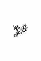 Cc1nnc(NC(c2ccc(Cl)cc2)c2c(O)ccc3ccccc23)s1